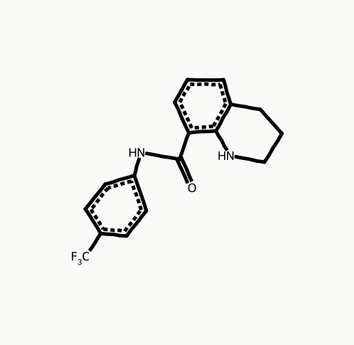 O=C(Nc1ccc(C(F)(F)F)cc1)c1cccc2c1NCCC2